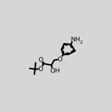 CC(C)(C)OC(=O)C(O)COc1ccc(N)cc1